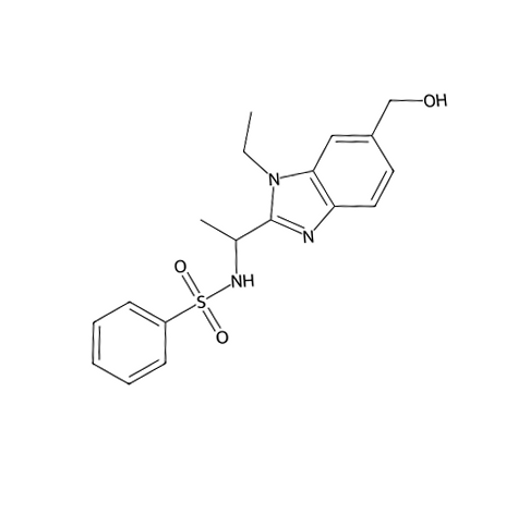 CCn1c(C(C)NS(=O)(=O)c2ccccc2)nc2ccc(CO)cc21